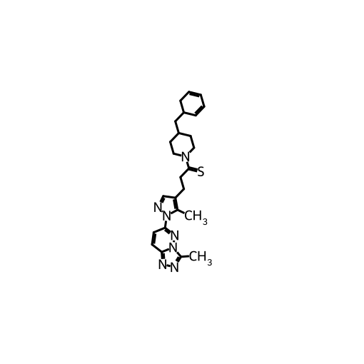 Cc1c(CCC(=S)N2CCC(CC3C=CC=CC3)CC2)cnn1-c1ccc2nnc(C)n2n1